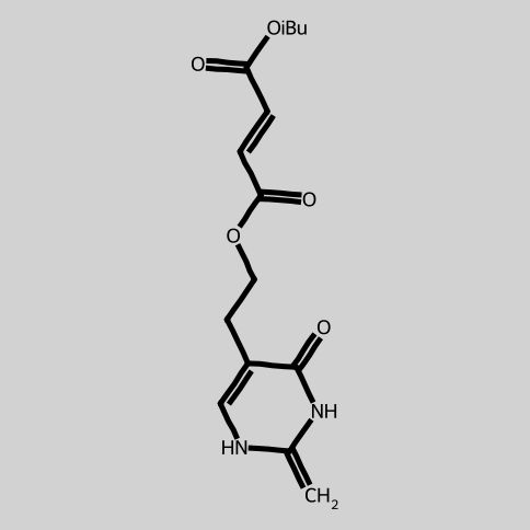 C=C1NC=C(CCOC(=O)/C=C/C(=O)OCC(C)C)C(=O)N1